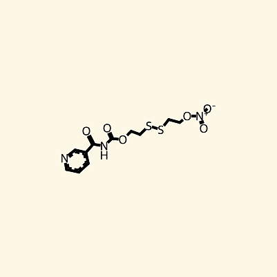 O=C(NC(=O)c1cccnc1)OCCSSCCO[N+](=O)[O-]